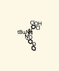 CC(C)(C)CCN(Cc1ccc(Oc2ccccc2)cc1)C(=O)c1ncn(-c2cc(Cl)c(O)c(Cl)c2)n1